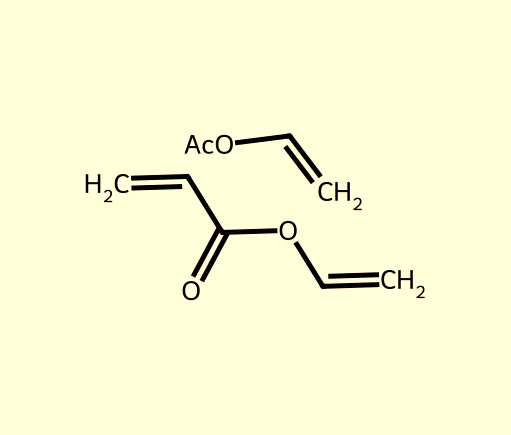 C=COC(=O)C=C.C=COC(C)=O